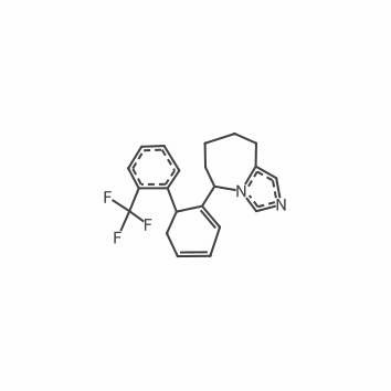 FC(F)(F)c1ccccc1C1CC=CC=C1C1CCCCc2cncn21